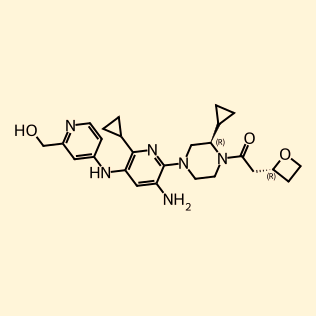 Nc1cc(Nc2ccnc(CO)c2)c(C2CC2)nc1N1CCN(C(=O)C[C@H]2CCO2)[C@H](C2CC2)C1